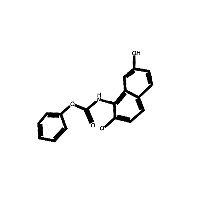 O=C(Nc1c(Cl)ccc2ccc(O)cc12)Oc1ccccc1